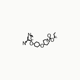 CC[C@H](C)OC(=O)N1CCC(O[C@H]2CC[C@H](Oc3ccncc3C#N)CC2)CC1